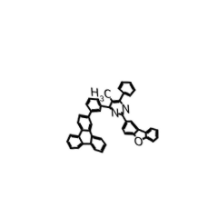 Cc1c(-c2ccccc2)nc(-c2ccc3oc4ccccc4c3c2)nc1-c1cccc(-c2ccc3c4ccccc4c4ccccc4c3c2)c1